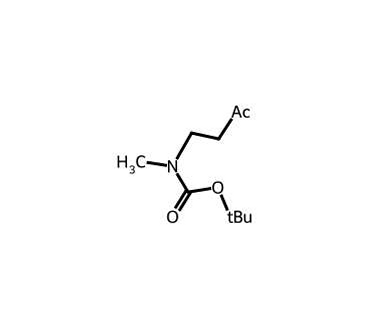 CC(=O)CCN(C)C(=O)OC(C)(C)C